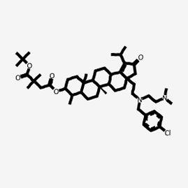 CC(C)C1=C2C3CCC4C5(C)CCC(OC(=O)CC(C)(C)C(=O)OC(C)(C)C)C(C)C5CC[C@@]4(C)C3CCC2(CCN(CCN(C)C)Cc2ccc(Cl)cc2)CC1=O